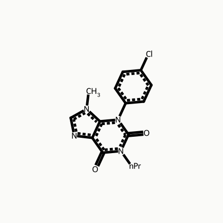 CCCn1c(=O)c2ncn(C)c2n(-c2ccc(Cl)cc2)c1=O